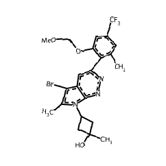 COCOc1cc(C(F)(F)F)cc(C)c1-c1cc2c(Br)c(C)n(C3CC(C)(O)C3)c2nn1